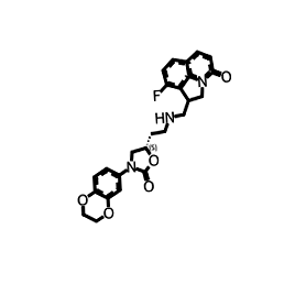 O=C1O[C@@H](CCNCC2Cn3c(=O)ccc4ccc(F)c2c43)CN1c1ccc2c(c1)OCCO2